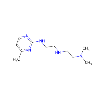 Cc1ccnc(NCCNCCN(C)C)n1